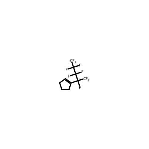 FC(F)(F)C(F)(F)C(F)(F)C(F)(C1=CCCC1)C(F)(F)F